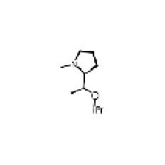 CC(C)O[C@@H](C)[C@@H]1CCCN1C